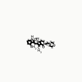 Bc1cccc2c1/C(=C/c1[nH]c3c(c1C)C(=O)N(CCN1CCOCC1)CC3)C(=O)N2